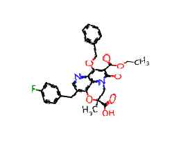 CCOC(=O)c1c(OCc2ccccc2)c2ncc(Cc3ccc(F)cc3)c3c2n(c1=O)C[C@](C)(C(=O)O)O3